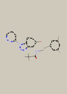 C[C@H](NC(=O)C(C)(F)F)[C@H](Oc1ccc2c(c1)nnn2-c1cccnn1)c1cc(F)cc(F)c1